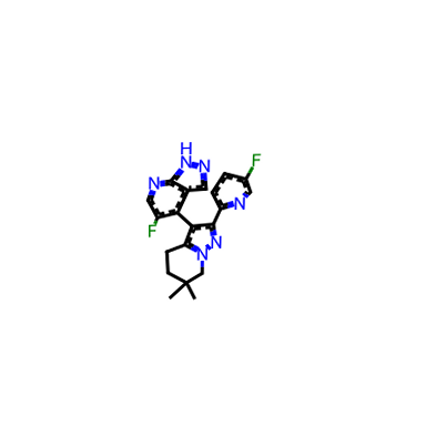 CC1(C)CCc2c(-c3c(F)cnc4[nH]ncc34)c(-c3ccc(F)cn3)nn2C1